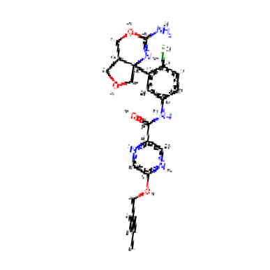 CC#CCOc1cnc(C(=O)Nc2ccc(F)c(C34COCC3COC(N)=N4)c2)cn1